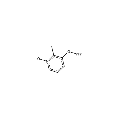 CCCOc1ccc[n+]([O-])c1C